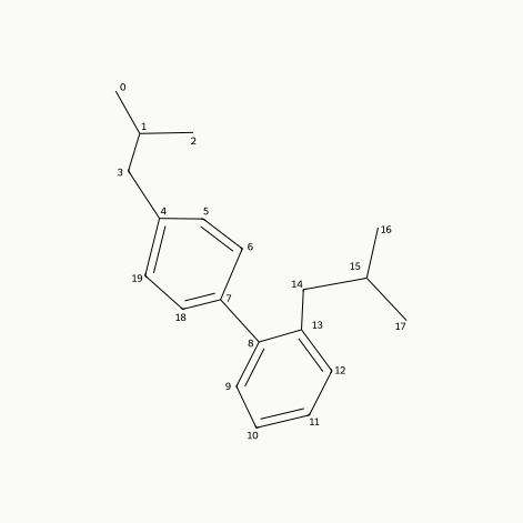 CC(C)Cc1ccc(-c2ccccc2CC(C)C)cc1